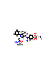 CCCCNC(=O)Cn1cc(C(=O)Nc2ccc(S(C)(=O)=O)cc2)c(C)c1-c1ccccc1C(F)(F)F